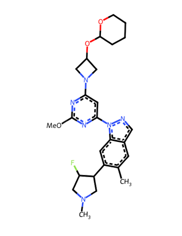 COc1nc(N2CC(OC3CCCCO3)C2)cc(-n2ncc3cc(C)c(C4CN(C)CC4F)cc32)n1